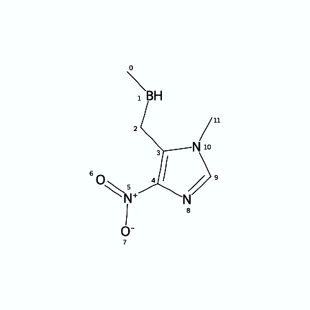 CBCc1c([N+](=O)[O-])ncn1C